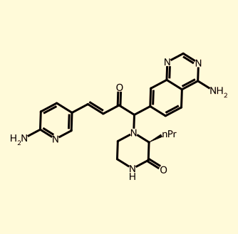 CCC[C@H]1C(=O)NCCN1C(C(=O)C=Cc1ccc(N)nc1)c1ccc2c(N)ncnc2c1